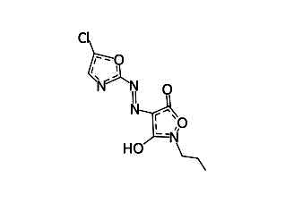 CCCn1oc(=O)c(N=Nc2ncc(Cl)o2)c1O